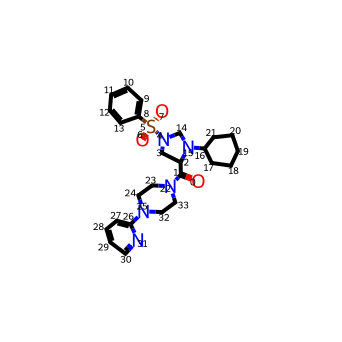 O=C(C1CN(S(=O)(=O)c2ccccc2)CN1C1CCCCC1)N1CCN(c2ccccn2)CC1